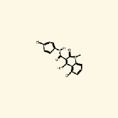 CCN(C(=O)c1c(O)c2c(Cl)cccc2n(C)c1=O)c1ccc(Cl)cc1